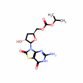 CC(C)OC(=O)OC[C@@H]1C[C@@H](O)[C@H](n2c(=O)sc3c(=O)[nH]c(N)nc32)O1